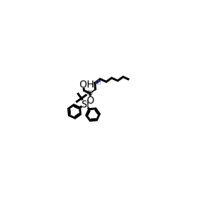 CCCCC/C=C\C[C@H](CO)O[Si](c1ccccc1)(c1ccccc1)C(C)(C)C